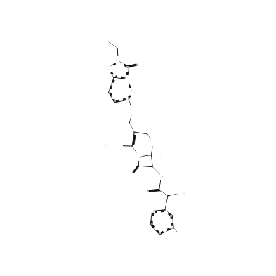 O=C(O)Cn1nc2ccc(SCC3=C(C(=O)O)N4C(=O)C(NC(=O)C(O)c5cccc(Br)c5)[C@@H]4SC3)nn2c1=O